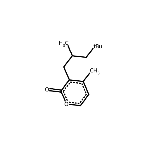 Cc1ccoc(=O)c1CC(C)CC(C)(C)C